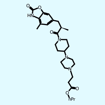 CCCOC(=O)CCN1CCN(C2CCN(C(=O)[C@H](C)Cc3cc(C)c4[nH]c(=O)oc4c3)CC2)CC1